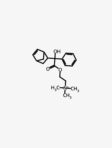 C[N+](C)(C)CCOC(=O)C(O)(c1ccccc1)C1CC2C=CC1C2